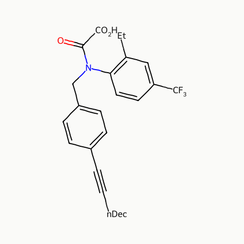 CCCCCCCCCCC#Cc1ccc(CN(C(=O)C(=O)O)c2ccc(C(F)(F)F)cc2CC)cc1